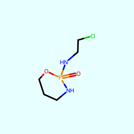 O=P1(NCCCl)NCCCO1